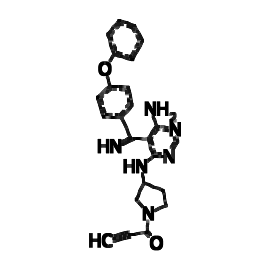 C#CC(=O)N1CCC(Nc2ncnc(N)c2C(=N)c2ccc(Oc3ccccc3)cc2)C1